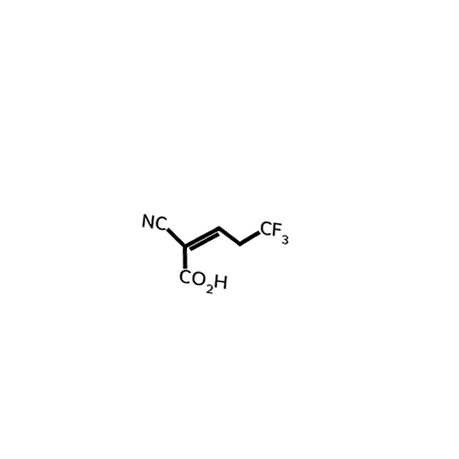 N#CC(=CCC(F)(F)F)C(=O)O